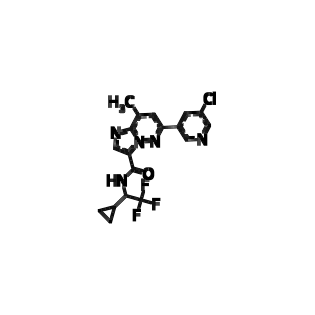 Cc1cc(-c2cncc(Cl)c2)nn2c(C(=O)NC(C3CC3)C(F)(F)F)cnc12